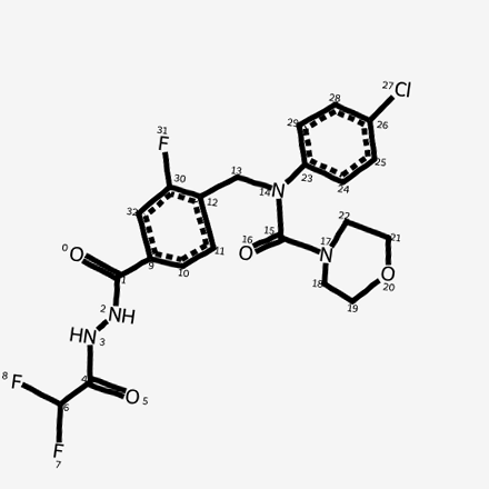 O=C(NNC(=O)C(F)F)c1ccc(CN(C(=O)N2CCOCC2)c2ccc(Cl)cc2)c(F)c1